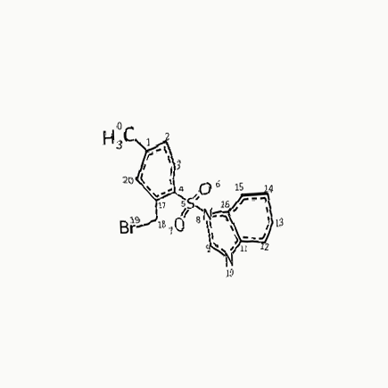 Cc1ccc(S(=O)(=O)n2cnc3ccccc32)c(CBr)c1